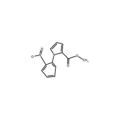 COC(=O)c1cccn1-c1ccccc1[N+](=O)[O-]